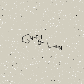 N#CCCOPN1CCCC1